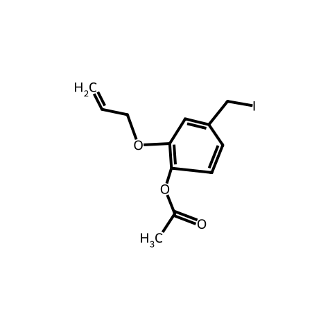 C=CCOc1cc(CI)ccc1OC(C)=O